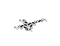 COCCOCSC(=O)CN(CCN(CCN(CC(=O)OC)CC(=O)OC)CC(=O)OC)CC(=O)OC